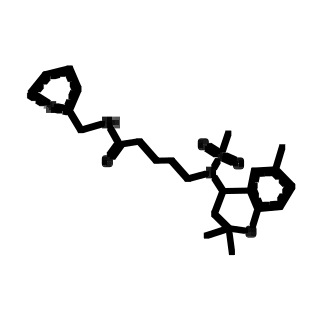 Cc1ccc2c(c1)C(N(CCCCC(=O)NCc1ccccn1)S(C)(=O)=O)CC(C)(C)O2